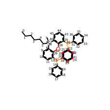 CCCCCC[Si]1(C)c2cccc(P(c3ccccc3)c3ccccc3)c2Oc2c(P(c3ccccc3)c3ccccc3)cccc21